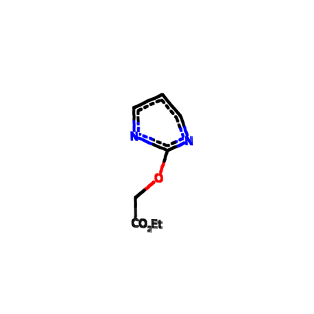 CCOC(=O)COc1ncccn1